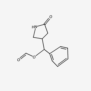 O=COC(c1ccccc1)C1CNC(=O)C1